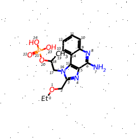 CCOCc1nc2c(N)nc3ccccc3c2n1CC(C)OP(=O)(O)O